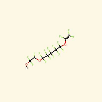 CCOC(F)(F)C(F)OC(F)(F)C(F)(F)C(F)(F)C(F)(F)C(F)(F)OC(F)=C(F)F